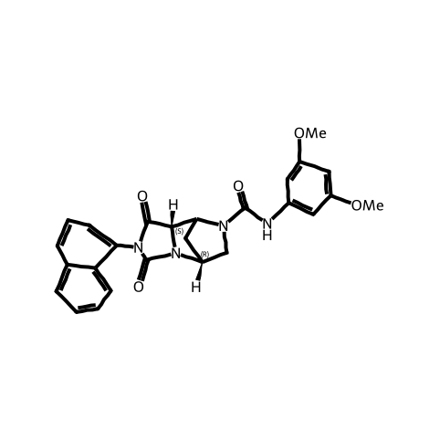 COc1cc(NC(=O)N2C[C@H]3CC2[C@H]2C(=O)N(c4cccc5ccccc45)C(=O)N32)cc(OC)c1